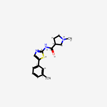 N#Cc1cccc(-c2cnc(NC(=O)C3CCN(C#N)C3)s2)c1